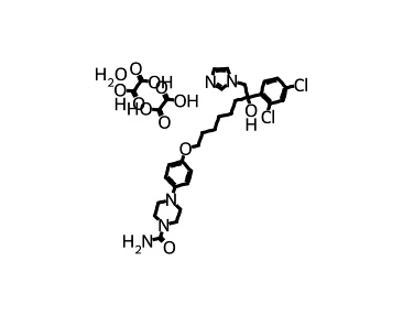 NC(=O)N1CCN(c2ccc(OCCCCCCC(O)(Cn3ccnc3)c3ccc(Cl)cc3Cl)cc2)CC1.O.O=C(O)C(=O)O.O=C(O)C(=O)O